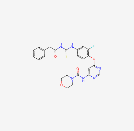 O=C(Cc1ccccc1)NC(=S)Nc1ccc(Oc2cc(NC(=O)N3CCOCC3)ncn2)c(F)c1